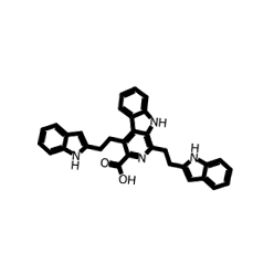 O=C(O)c1nc(CCc2cc3ccccc3[nH]2)c2[nH]c3ccccc3c2c1CCc1cc2ccccc2[nH]1